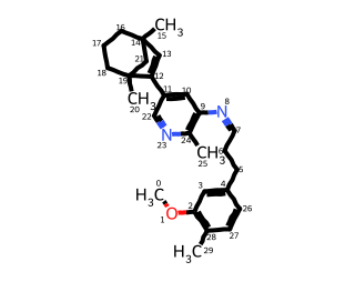 COc1cc(CC/C=N\c2cc(C3=CC4(C)CCCC3(C)C4)cnc2C)ccc1C